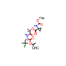 CC(C=O)OC(=O)[C@H](CC(C)(C)F)N(C)C(=O)[C@@H](C)OC(=O)C1(N(C)C(=O)OC(C)(C)C)CC1